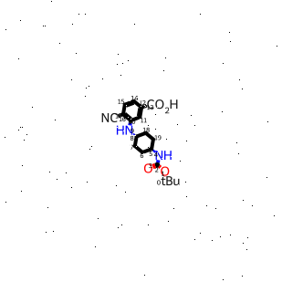 CC(C)(C)OC(=O)N[C@H]1CC[C@H](Nc2cc(C(=O)O)ccc2C#N)CC1